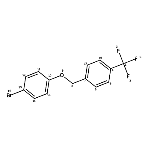 FC(F)(F)c1ccc(COc2ccc(Br)cc2)cc1